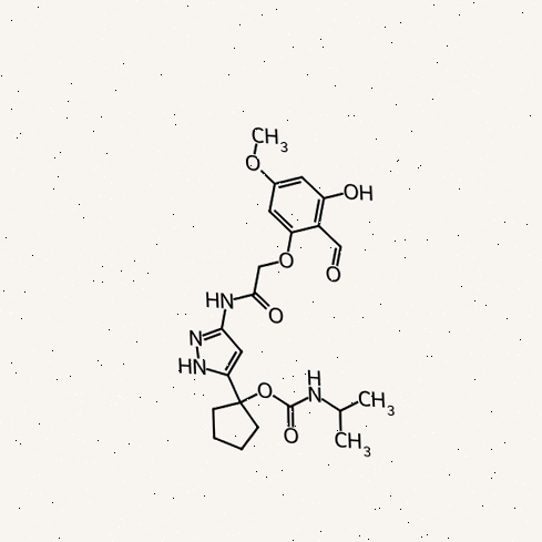 COc1cc(O)c(C=O)c(OCC(=O)Nc2cc(C3(OC(=O)NC(C)C)CCCC3)[nH]n2)c1